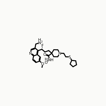 COc1ccc2ncc(CN)c([C@H](F)CCC3(C(=O)NO)CCN(CCSC4CCCC4)CC3)c2c1